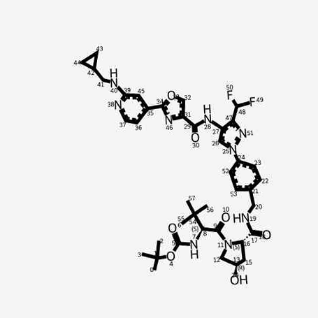 CC(C)(C)OC(=O)N[C@H](C(=O)N1C[C@H](O)C[C@H]1C(=O)NCc1ccc(-n2cc(NC(=O)c3coc(-c4ccnc(NCC5CC5)c4)n3)c(C(F)F)n2)cc1)C(C)(C)C